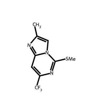 CSc1nc(C(F)(F)F)cc2nc(C)cn12